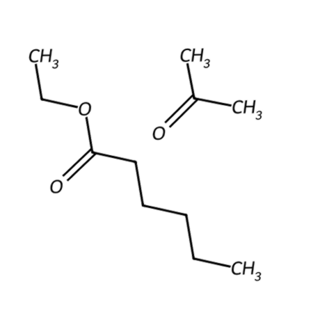 CC(C)=O.CCCCCC(=O)OCC